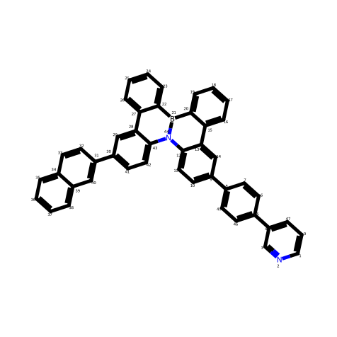 c1cncc(-c2ccc(-c3ccc4c(c3)-c3ccccc3B3c5ccccc5-c5cc(-c6ccc7ccccc7c6)ccc5N34)cc2)c1